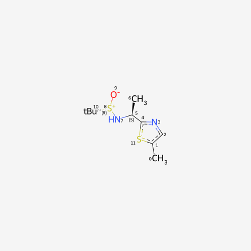 Cc1cnc([C@H](C)N[S@@+]([O-])C(C)(C)C)s1